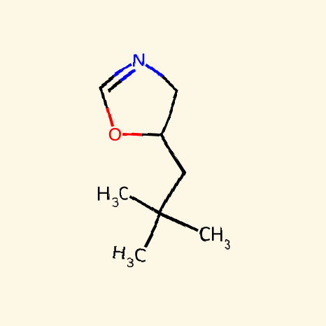 CC(C)(C)CC1CN=CO1